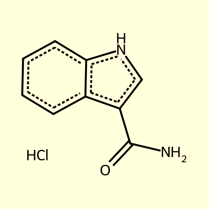 Cl.NC(=O)c1c[nH]c2ccccc12